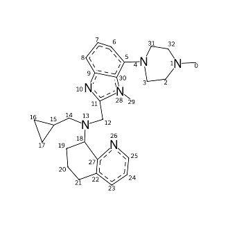 CN1CCN(c2cccc3nc(CN(CC4CC4)C4CCCc5cccnc54)n(C)c23)CC1